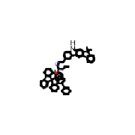 C=C/C=C(\C=C/CC1=CC=C2Nc3cc4c(cc3C2C1)-c1ccccc1C4(C)C)N(c1cccc2c1C1(c3ccccc3-c3ccccc31)c1ccccc1-2)C1C=CC(c2ccccc2)=CC1